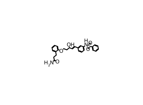 NC(=O)CCc1ccccc1OCC[C@@H](O)/C=C/c1cccc(NS(=O)(=O)c2ccccc2)c1